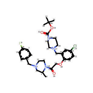 CC1CN(Cc2ccc(F)cc2)CCN1C(=O)COc1ccc(Cl)cc1CN1CCN(C(=O)OC(C)(C)C)CC1